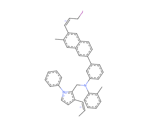 C/C=C\c1ccn(-c2ccccc2)c1CN(c1cccc(-c2ccc3cc(/C=C\CI)c(C)cc3c2)c1)c1ccccc1C